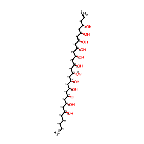 C=CCC(O)CC(O)CC(O)CC(O)CC(O)CC(O)CC(O)CC(O)CC(O)CC(O)CC(O)CC(O)CCCCC